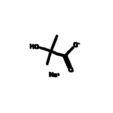 CC(C)(O)C(=O)[O-].[Na+]